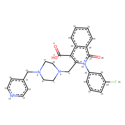 O=C(O)c1c(CN2CCN(Cc3ccncc3)CC2)n(-c2cccc(F)c2)c(=O)c2ccccc12